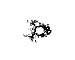 COc1nn(C)cc1C(=O)N[S@@]1(=O)=NC(=O)c2ccc3c(c2)N(C[C@@H]2CC[C@H]2[C@@H](OC)/C=C/[C@H](OCC(=O)N(C)C)[C@H](C)C1)C[C@@]1(CCCc2cc(Cl)ccc21)CO3